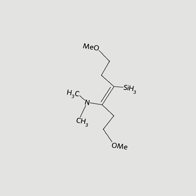 COCCC([SiH3])=C(CCOC)N(C)C